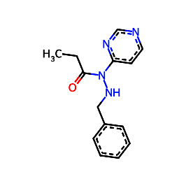 CCC(=O)N(NCc1ccccc1)c1ccncn1